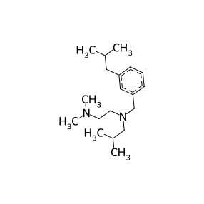 CC(C)Cc1cccc(CN(CCN(C)C)CC(C)C)c1